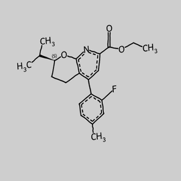 CCOC(=O)c1cc(-c2ccc(C)cc2F)c2c(n1)O[C@H](C(C)C)CC2